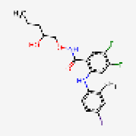 CCCC(O)CONC(=O)c1cc(F)c(F)cc1Nc1ccc(I)cc1C